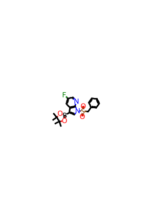 CC1(C)OB(c2cn(S(=O)(=O)Cc3ccccc3)c3ncc(F)cc23)OC1(C)C